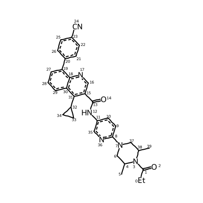 CCC(=O)N1C(C)CN(c2ccc(NC(=O)c3cnc4c(-c5ccc(C#N)cc5)cccc4c3C3CC3)cn2)CC1C